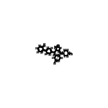 CC(C1=NO[CH]C1=C(N1CCN(C)CC1)N1CCN(C)CC1)c1ccc(-c2ccccc2F)cc1